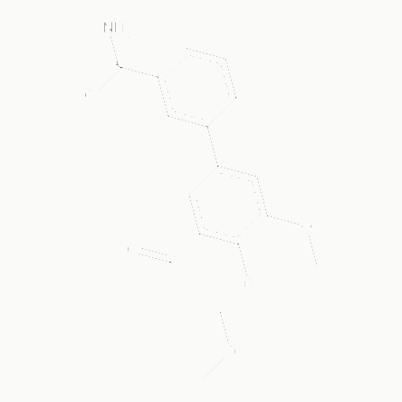 COCOc1c(C=O)cc(-c2cccc(C(N)=O)c2)cc1OC